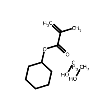 C=C(C)C(=O)OC1CCCCC1.CO.CO